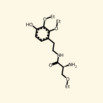 CCOC[C@H](N)C(=O)NCCc1ccc(O)c(OCC)c1OCC